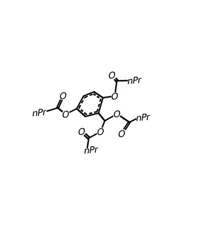 CCCC(=O)Oc1ccc(OC(=O)CCC)c(C(OC(=O)CCC)OC(=O)CCC)c1